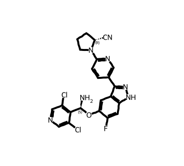 N#C[C@H]1CCCN1c1ccc(-c2n[nH]c3cc(F)c(O[C@H](N)c4c(Cl)cncc4Cl)cc23)cn1